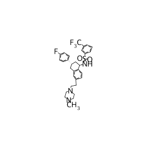 CN1CCN(CCc2ccc3c(c2)C[C@H](c2ccc(F)cc2)C[C@H]3NS(=O)(=O)c2cccc(C(F)(F)F)c2)CC1